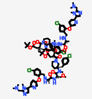 COC[C@H](NC(=O)[C@H](C)NCc1ccc(Cl)cc1Oc1ccc(-c2cnc(CN(C)C)n2C)nc1)C(=O)N(C)[C@@]1(Cc2ccc(Cl)cc2)CCCN(C(=O)[C@@H](CC(=O)OC(C)(C)C)Cc2cc[n+]([O-])c(C[C@H](CC(=O)OC(C)(C)C)C(=O)N3CCC[C@](Cc4ccc(Cl)cc4)(N(C)C(=O)[C@H](COC)NC(=O)[C@H](C)NCc4ccc(Cl)cc4Oc4ccc(-c5cnc(CN(C)C)n5C)nc4)C3)c2)C1